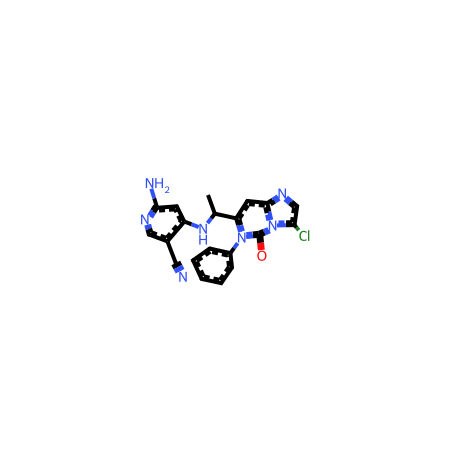 CC(Nc1cc(N)ncc1C#N)c1cc2ncc(Cl)n2c(=O)n1-c1ccccc1